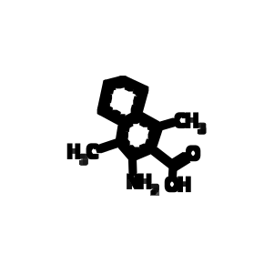 Cc1c(N)c(C(=O)O)c(C)c2ccccc12